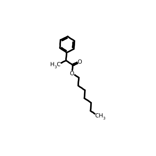 CCCCCCCOC(=O)C(C)c1ccccc1